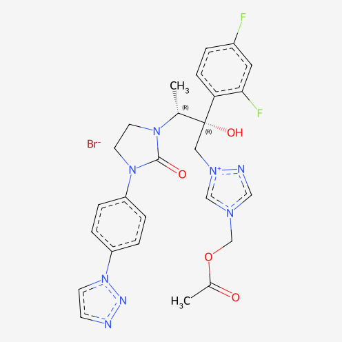 CC(=O)OCn1cn[n+](C[C@](O)(c2ccc(F)cc2F)[C@@H](C)N2CCN(c3ccc(-n4ccnn4)cc3)C2=O)c1.[Br-]